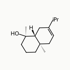 CC(C)C1=CC[C@@]2(C)CCC[C@@](C)(O)[C@@H]2C1